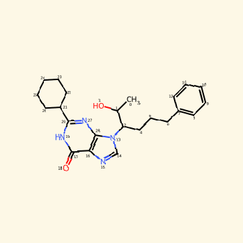 CC(O)C(CCCc1ccccc1)n1cnc2c(=O)[nH]c(C3CCCCC3)nc21